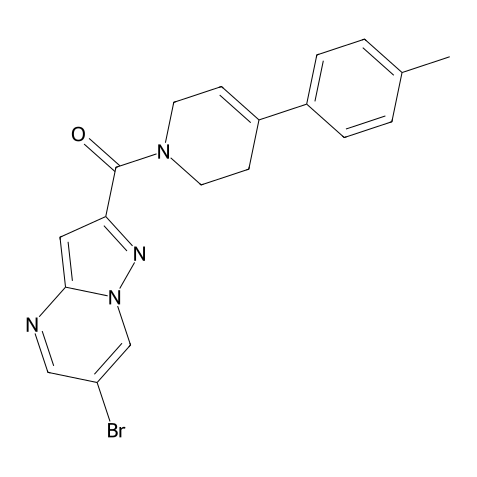 Cc1ccc(C2=CCN(C(=O)c3cc4ncc(Br)cn4n3)CC2)cc1